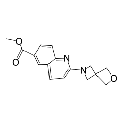 COC(=O)c1ccc2nc(N3CC4(COC4)C3)ccc2c1